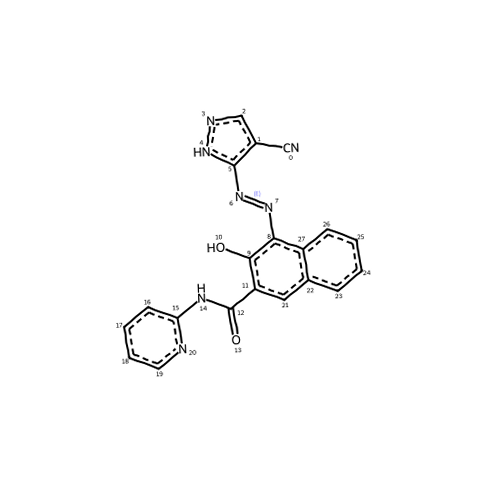 N#Cc1cn[nH]c1/N=N/c1c(O)c(C(=O)Nc2ccccn2)cc2ccccc12